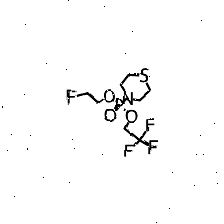 O=P(OCCF)(OCC(F)(F)F)N1CCSCC1